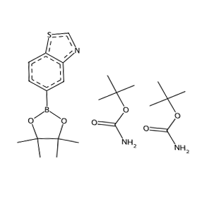 CC(C)(C)OC(N)=O.CC(C)(C)OC(N)=O.CC1(C)OB(c2ccc3scnc3c2)OC1(C)C